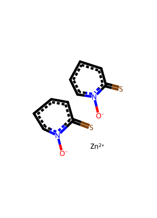 [O-]n1ccccc1=S.[O-]n1ccccc1=S.[Zn+2]